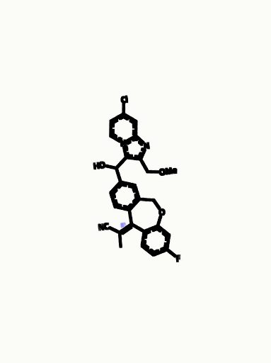 COCc1nc2cc(Cl)ccn2c1C(O)c1ccc2c(c1)COc1cc(F)ccc1/C2=C(\C)C#N